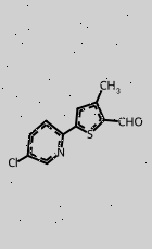 Cc1cc(-c2ccc(Cl)cn2)sc1C=O